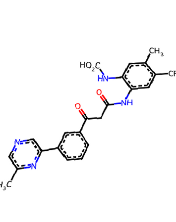 Cc1cncc(-c2cccc(C(=O)CC(=O)Nc3cc(C(F)(F)F)c(C)cc3NC(=O)O)c2)n1